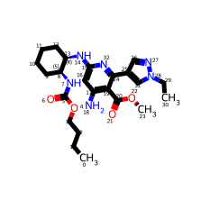 CCCCOC(=O)N[C@H]1CCCC[C@H]1Nc1cc(N)c(C(=O)OC)c(-c2cnn(CC)c2)n1